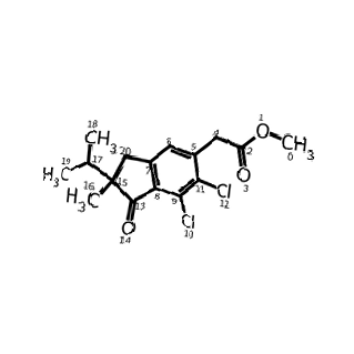 COC(=O)Cc1cc2c(c(Cl)c1Cl)C(=O)C(C)(C(C)C)C2